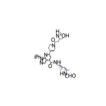 C/C(=C/C(C)=C(\C)CNC(=O)c1cc(C2=CCN(C(=O)CC(N)CO)CC2)nc2c1cnn2C(C)C)NC=O